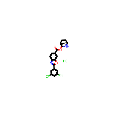 Cl.O=C(OC1CC2CCC1CN2)c1ccc2nc(-c3cc(Cl)cc(Cl)c3)oc2c1